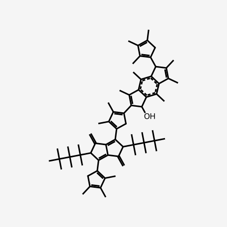 C=C1C2=C(C3=C(C)C(C)=C(C4=C(C)c5c(C)c6c(c(C)c5C4O)C(C)=C(C)C6C4=C(C)C(C)=C(C)C4)C3)C(C(C)(C)C(C)(C)C(C)(C)C)C(=C)C2=C(C2=C(C)C(C)=C(C)C2)C1C(C)(C)C(C)(C)C(C)(C)C